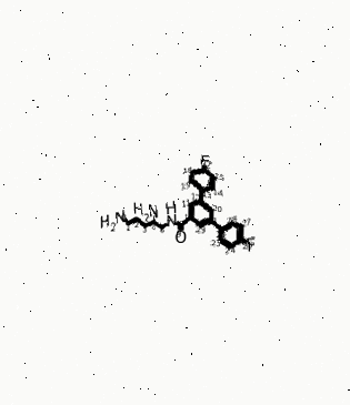 NCCC[C@H](N)CNC(=O)c1cc(-c2ccc(F)cc2)cc(-c2ccc(F)cc2)c1